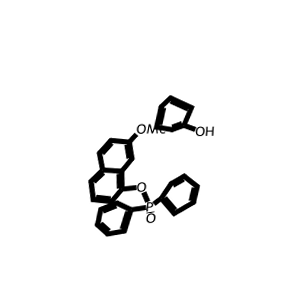 COc1ccc2cccc(OP(=O)(c3ccccc3)c3ccccc3)c2c1.Oc1ccccc1